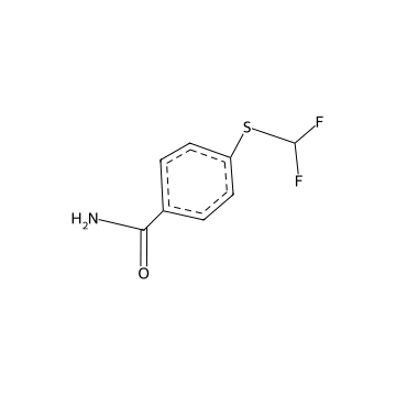 NC(=O)c1ccc(SC(F)F)cc1